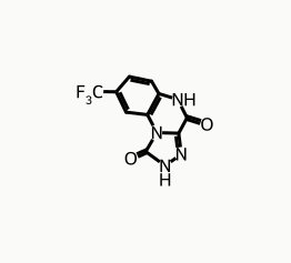 O=c1[nH]c2ccc(C(F)(F)F)cc2n2c(=O)[nH]nc12